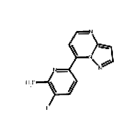 Cc1nc(-c2ccnc3ccnn23)ccc1F